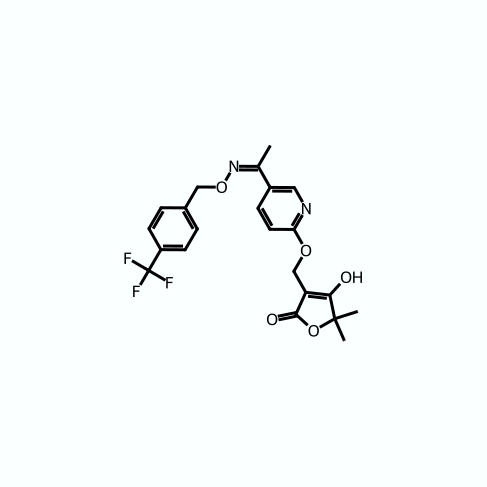 CC(=NOCc1ccc(C(F)(F)F)cc1)c1ccc(OCC2=C(O)C(C)(C)OC2=O)nc1